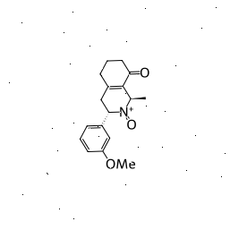 COc1cccc([C@@H]2CC3=C(C(=O)CCC3)[C@@H](C)[N+]2=O)c1